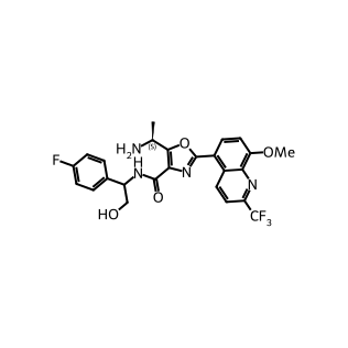 COc1ccc(-c2nc(C(=O)NC(CO)c3ccc(F)cc3)c([C@H](C)N)o2)c2ccc(C(F)(F)F)nc12